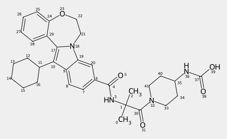 CC(C)(NC(=O)c1ccc2c(C3CCCCC3)c3n(c2c1)CCOc1ccccc1-3)C(=O)N1CCC(NC(=O)O)CC1